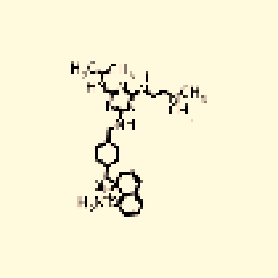 CC(C)Nc1nc(NCCN(C)C)nc(NCC2CCC(CC3(S(N)(=O)=O)CC=Cc4ccccc43)CC2)n1